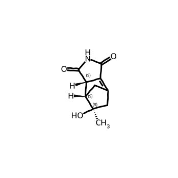 C[C@@]1(O)CC2=C3C(=O)NC(=O)[C@H]3[C@@H]1C2